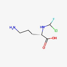 NCCC[C@H](NC(F)Cl)C(=O)O